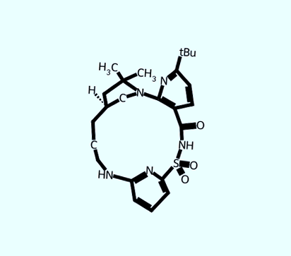 CC(C)(C)c1ccc2c(n1)N1C[C@@H](CCCNc3cccc(n3)S(=O)(=O)NC2=O)CC1(C)C